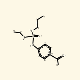 CCCOP(=S)(Oc1ccc(C(C)=O)cc1)SCC